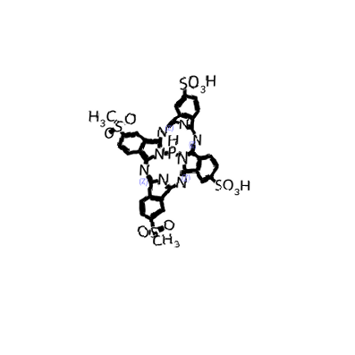 CS(=O)(=O)c1ccc2c(c1)C1=NC/2=N\c2c3ccc(S(C)(=O)=O)cc3c3n2Pn2/c(c4ccc(S(=O)(=O)O)cc4/c2=N/1)=N\C1=NC(=N\3)/c2cc(S(=O)(=O)O)ccc21